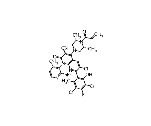 C=CC(=O)N1[C@H](C)CN(c2c(C#N)c(=O)n(-c3c(C)ccnc3C(C)C)c3nc(-c4c(C)c(Cl)c(F)c(Cl)c4O)c(Cl)cc23)C[C@@H]1C